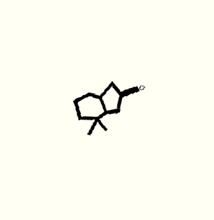 CC1(C)CCCC2CC(=O)CC21